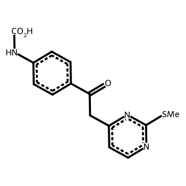 CSc1nccc(CC(=O)c2ccc(NC(=O)O)cc2)n1